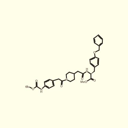 COC(=O)[C@H](Cc1ccc(OCc2ccccc2)cc1)NC(=O)CC1CCN(C(=O)Cc2ccc(NC(=O)OC(C)(C)C)cc2)CC1